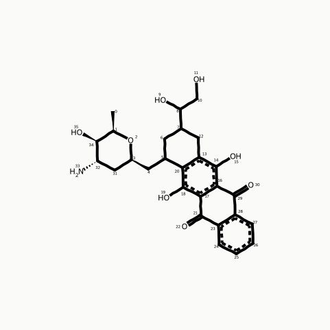 C[C@H]1O[C@@H](CC2CC(C(O)CO)Cc3c(O)c4c(c(O)c32)C(=O)c2ccccc2C4=O)C[C@H](N)[C@H]1O